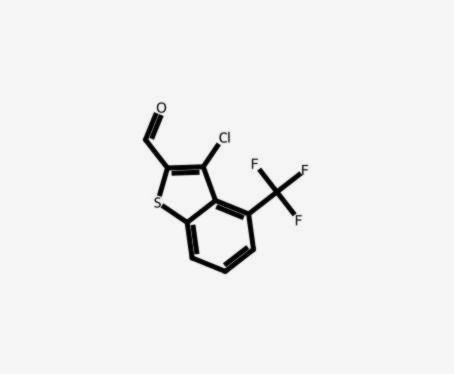 O=Cc1sc2cccc(C(F)(F)F)c2c1Cl